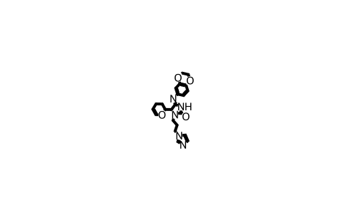 O=C1NC(=Nc2ccc3c(c2)OCCO3)C(C2CCC=CO2)N1CCCn1ccnc1